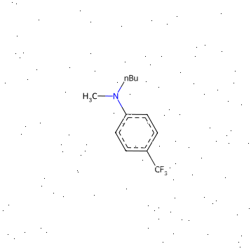 CCCCN(C)c1ccc(C(F)(F)F)cc1